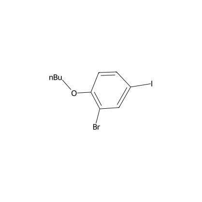 CCCCOc1ccc(I)cc1Br